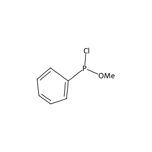 COP(Cl)c1ccccc1